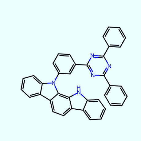 c1ccc(-c2nc(-c3ccccc3)nc(-c3cccc(-n4c5ccccc5c5ccc6c7ccccc7[nH]c6c54)c3)n2)cc1